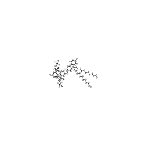 CCCCCCCCCCCCC1(CCCCCCCCCCCC)c2cc(C)ccc2-c2ccc(Cc3ccc(-c4ccc(C)cc4S(=O)(=O)OCC(C)(C)C)c(S(=O)(=O)OCC(C)(C)C)c3)cc21